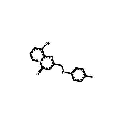 O=c1cc(CNc2ccc(F)cc2)nc2c(O)cccn12